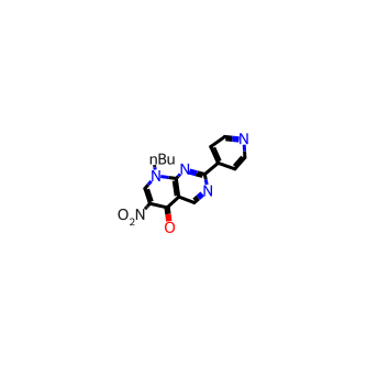 CCCCn1cc([N+](=O)[O-])c(=O)c2cnc(-c3ccncc3)nc21